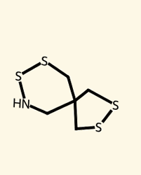 C1NSSCC12CSSC2